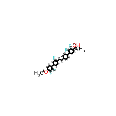 CCOc1ccc(-c2ccc(CCC3CC=C(c4ccc(C(C)O)c(F)c4F)CC3)c(F)c2)c(F)c1F